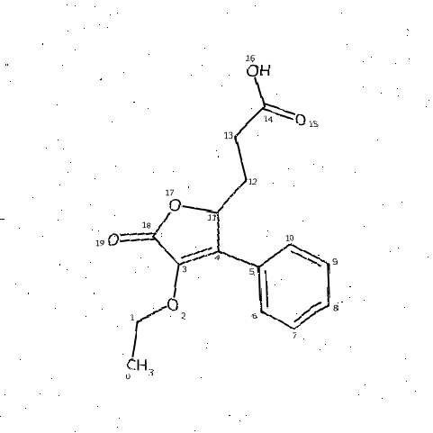 CCOC1=C(c2ccccc2)C(CCC(=O)O)OC1=O